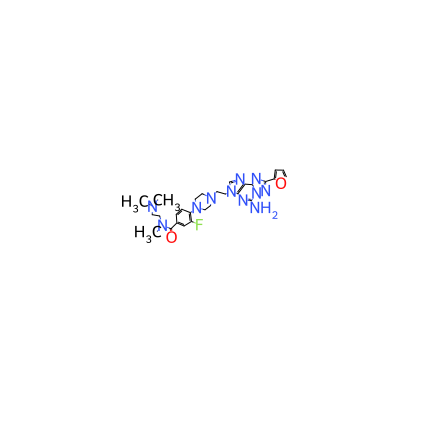 CN(C)CCN(C)C(=O)c1ccc(N2CCN(CCn3cnc4c3nc(N)n3nc(-c5ccco5)nc43)CC2)c(F)c1